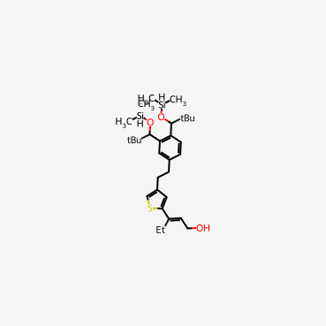 CCC(=CCO)c1cc(CCc2ccc(C(O[SiH](C)C)C(C)(C)C)c(C(O[SiH](C)C)C(C)(C)C)c2)cs1